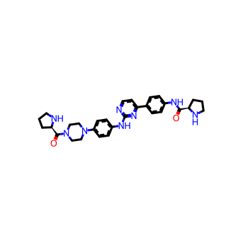 O=C(Nc1ccc(-c2ccnc(Nc3ccc(N4CCN(C(=O)[C@H]5CCCN5)CC4)cc3)n2)cc1)[C@H]1CCCN1